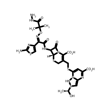 C[C@H](O)N1C=C2N=C(C(=O)O)C=C(SCC3=C(C(=O)O)N4C(=O)C(NC(=O)/C(=N\OC(C)(C)C(=O)NN)c5csc(N)n5)[C@H]4SC3)N2N1